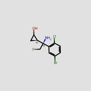 N[C@](CF)(c1cc(Br)ccc1Cl)[C@H]1CC1O